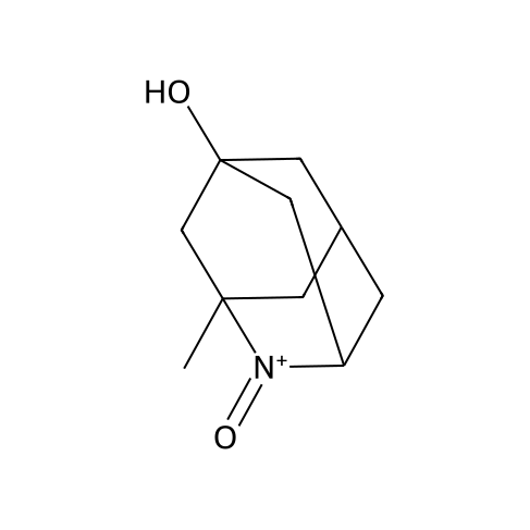 CC12CC3CC(CC(O)(C3)C1)[N+]2=O